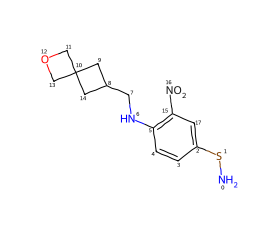 NSc1ccc(NCC2CC3(COC3)C2)c([N+](=O)[O-])c1